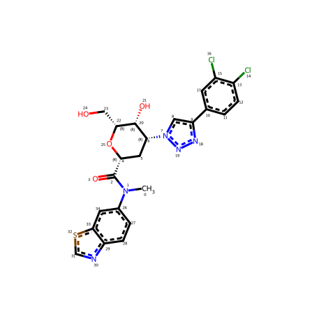 CN(C(=O)[C@H]1C[C@@H](n2cc(-c3ccc(Cl)c(Cl)c3)nn2)[C@@H](O)[C@@H](CO)O1)c1ccc2ncsc2c1